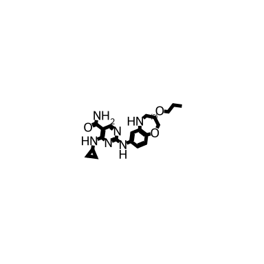 CCCO[C@H]1CNc2cc(Nc3ncc(C(N)=O)c(NC4CC4)n3)ccc2OC1